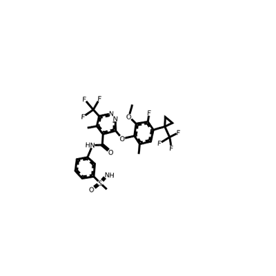 COc1c(F)c(C2(C(F)(F)F)CC2)cc(C)c1Oc1nnc(C(F)(F)F)c(C)c1C(=O)Nc1cccc(S(C)(=N)=O)c1